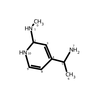 CNC1C=C(C(C)N)C=CN1